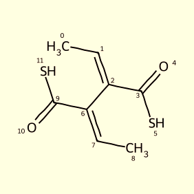 C/C=C(C(=O)S)\C(=C/C)C(=O)S